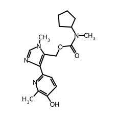 Cc1nc(-c2ncn(C)c2COC(=O)N(C)C2CCCC2)ccc1O